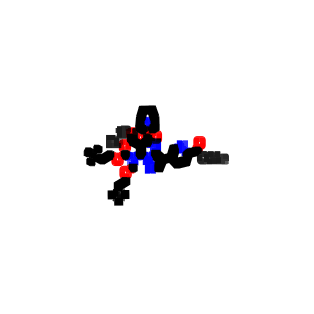 C=C(OCC)c1c(C2CC3CCC(C2)N3C(=O)OC(C)(C)C)nc2c(-c3ccc(C(=O)OC)nc3)cnn2c1N(COCC[Si](C)(C)C)COCC[Si](C)(C)C